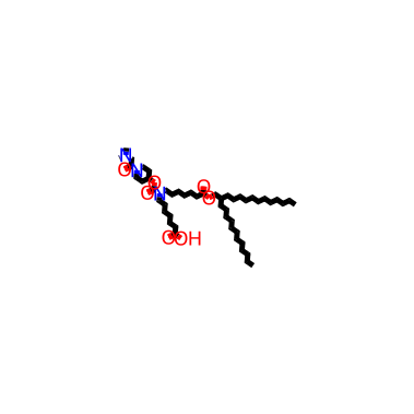 CCCCCCCCCCCCC(CCCCCCCCCCCC)COC(=O)CCCCCCN(CCCCCCC(=O)O)C(=O)OC1CCN(C(=O)CN(C)C)CC1